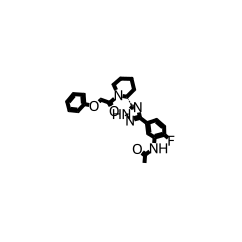 CC(=O)Nc1cc(-c2n[nH]c([C@H]3CCCCN3C(=O)COc3ccccc3)n2)ccc1F